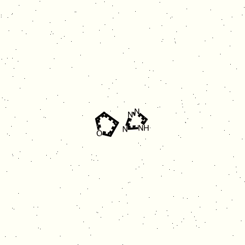 c1ccoc1.c1nnn[nH]1